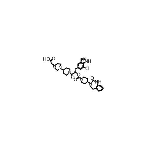 O=C(O)CN1CCN(C2CCN(C(=O)[C@@H](Cc3cc(Cl)c4[nH]ncc4c3)OC(=O)N3CCC(N4CCc5ccccc5NC4=O)CC3)CC2)CC1